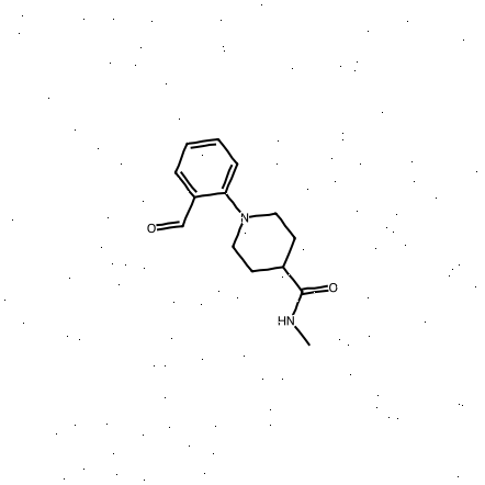 CNC(=O)C1CCN(c2ccccc2C=O)CC1